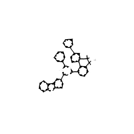 CC1(C)c2cc(-c3ccccc3)ccc2-c2c(-c3nc(-c4ccccc4)nc(-c4ccc5sc6ccccc6c5c4)n3)cccc2C1(C)C